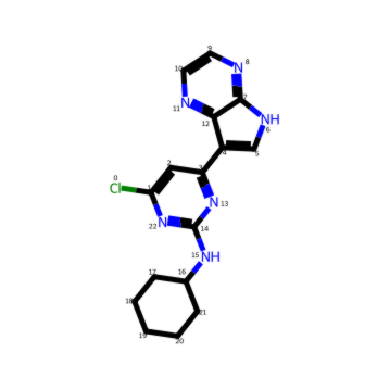 Clc1cc(-c2c[nH]c3nccnc23)nc(NC2CCCCC2)n1